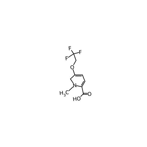 CN1CC(OCC(F)(F)F)=CC=C1C(=O)O